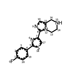 Fc1ccc(-c2nc(-c3ncc4n3CCNC4)cs2)cc1